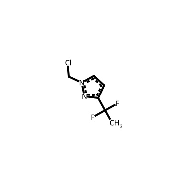 CC(F)(F)c1ccn(CCl)n1